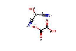 N#CB(O)C#N.O=C(O)C(=O)O